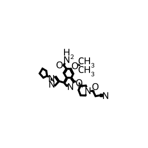 CC(C)Oc1cc2c(O[C@@H]3CCCN(C(=O)CC#N)C3)ncc(-c3cnn(C4CCCC4)c3)c2cc1C(N)=O